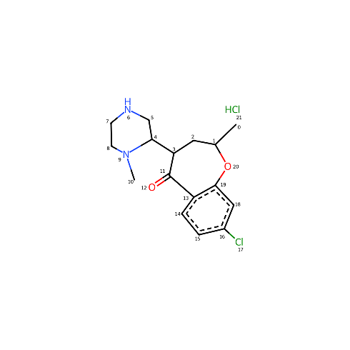 CC1CC(C2CNCCN2C)C(=O)c2ccc(Cl)cc2O1.Cl